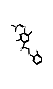 Cc1cc(C(=O)COc2ccccc2Cl)c(C)cc1/N=C\N(C)C